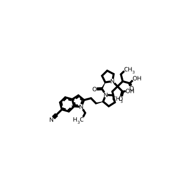 CCC(C(=O)O)C(CC)(C(=O)O)N1CCC[C@@H]1C(=O)N1CCC[C@H]1CCc1cc2ccc(C#N)cc2n1CC